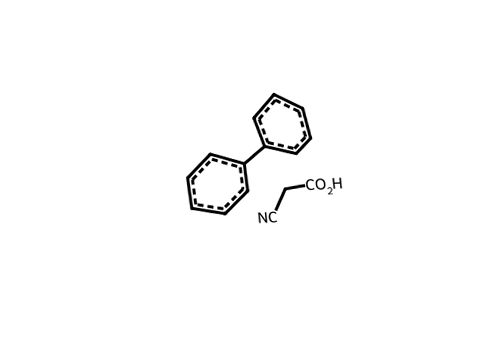 N#CCC(=O)O.c1ccc(-c2ccccc2)cc1